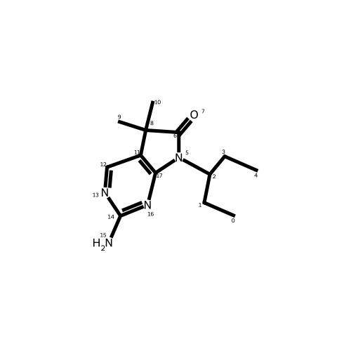 CCC(CC)N1C(=O)C(C)(C)c2cnc(N)nc21